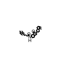 CN1CCN(CCCC(=O)Nc2ccc3c(c2)C(=O)N(c2ccc4ncccc4c2)C3)CC1